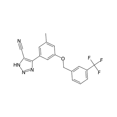 Cc1cc(OCc2cccc(C(F)(F)F)c2)cc(-c2nn[nH]c2C#N)c1